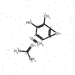 C=O.Cc1c(O)ccc2c1O2.NC(N)=O